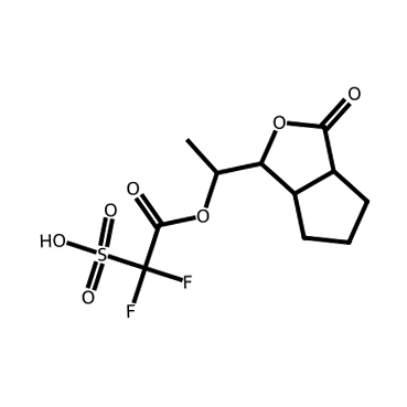 CC(OC(=O)C(F)(F)S(=O)(=O)O)C1OC(=O)C2CCCC21